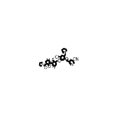 Cc1c(COc2cc(OCc3cncc(C#N)c3)c(CN3CCCCC3)cc2Cl)cccc1-c1cccc(C(=O)N2CCCC2)c1C